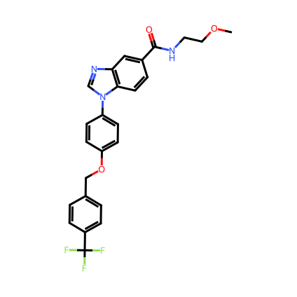 COCCNC(=O)c1ccc2c(c1)ncn2-c1ccc(OCc2ccc(C(F)(F)F)cc2)cc1